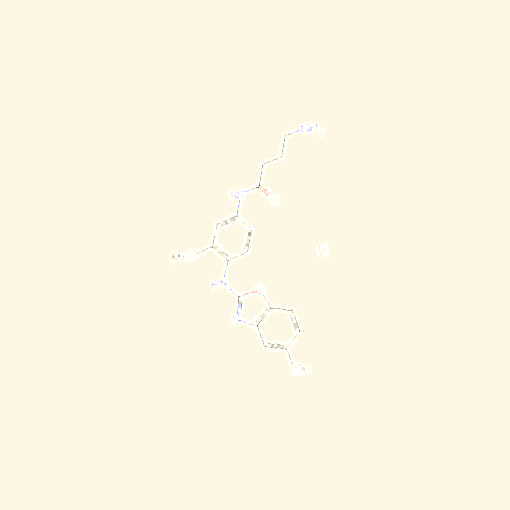 COc1cc(NC(=O)CCCN)ccc1Nc1nc2cc(C(C)(C)C)ccc2o1.[P]